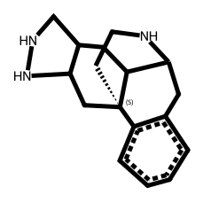 c1ccc2c(c1)CC1NCC[C@@]23CC2NNCC2CC13